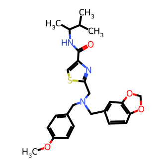 COc1ccc(CN(Cc2ccc3c(c2)OCO3)Cc2nc(C(=O)NC(C)C(C)C)cs2)cc1